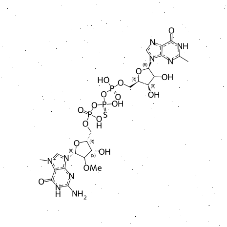 COC1[C@@H](O)[C@@H](COP(=O)(O)OP(O)(=S)OP(=O)(O)OC[C@H]2O[C@@H](n3cnc4c(=O)[nH]c(C)nc43)C(O)[C@H]2O)O[C@H]1n1c[n+](C)c2c(=O)[nH]c(N)nc21